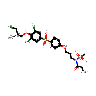 CC(=O)OCC(=O)N(CCCOc1ccc(S(=O)(=O)c2cc(Cl)c(OC[C@H](CCl)OC(C)=O)c(Cl)c2)cc1)S(C)(=O)=O